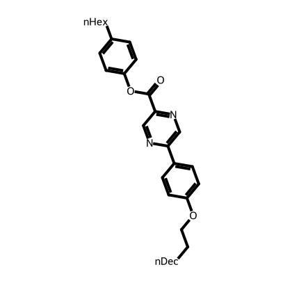 CCCCCCCCCCCCOc1ccc(-c2cnc(C(=O)Oc3ccc(CCCCCC)cc3)cn2)cc1